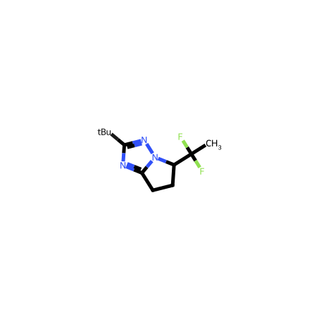 CC(C)(C)c1nc2n(n1)C(C(C)(F)F)CC2